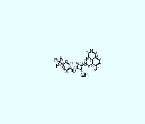 Cc1ccc2cnccc2c1CNC1CC(Oc2ccc(C(F)(F)F)nc2)C1.Cl